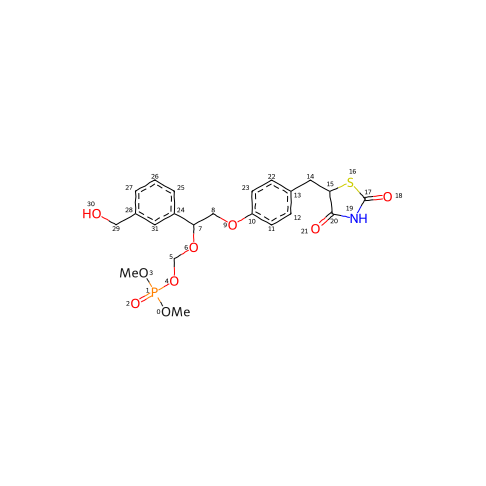 COP(=O)(OC)OCOC(COc1ccc(CC2SC(=O)NC2=O)cc1)c1cccc(CO)c1